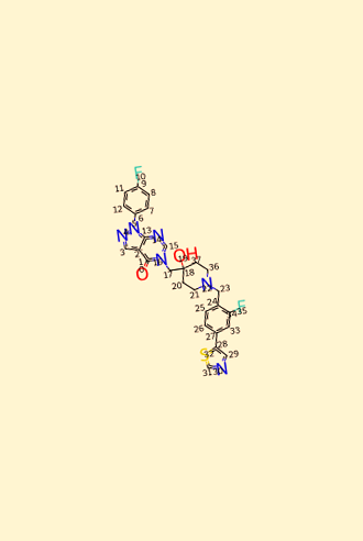 O=c1c2cnn(-c3ccc(F)cc3)c2ncn1CC1(O)CCN(Cc2ccc(-c3cncs3)cc2F)CC1